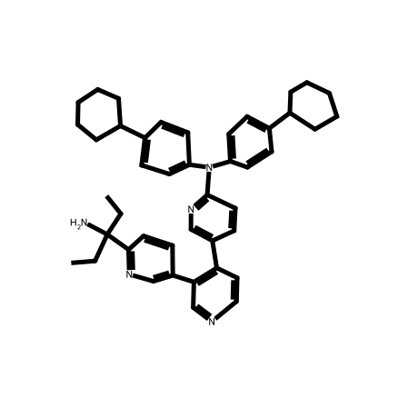 CCC(N)(CC)c1ccc(-c2cnccc2-c2ccc(N(c3ccc(C4CCCCC4)cc3)c3ccc(C4CCCCC4)cc3)nc2)cn1